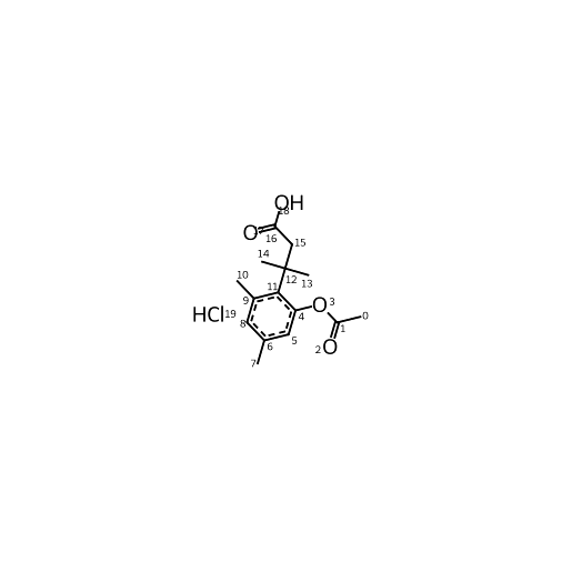 CC(=O)Oc1cc(C)cc(C)c1C(C)(C)CC(=O)O.Cl